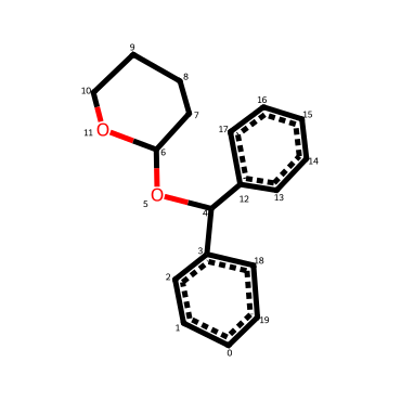 c1ccc(C(OC2CCCCO2)c2ccccc2)cc1